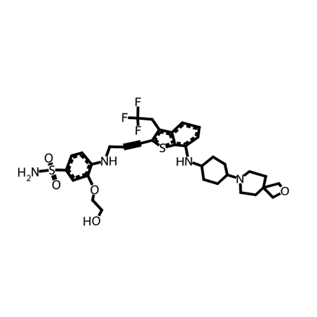 NS(=O)(=O)c1ccc(NCC#Cc2sc3c(NC4CCC(N5CCC6(CC5)COC6)CC4)cccc3c2CC(F)(F)F)c(OCCO)c1